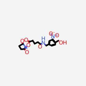 O=C(CCCC(=O)ON1C(=O)CCC1=O)NCc1ccc(CO)c([N+](=O)[O-])c1